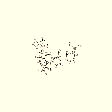 CN(C)S(=O)(=O)N[C@@H]1[C@H](Cc2cccc(-c3cccc(C(F)F)n3)c2F)N(C(=O)C2(O)CCC2)CC1(F)F